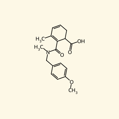 COc1ccc(CN(C)C(=O)C2=C(C)C=CCC2C(=O)O)cc1